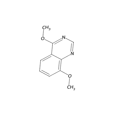 COc1ncnc2c(OC)cccc12